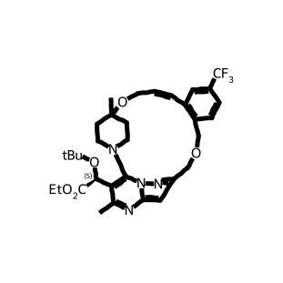 CCOC(=O)[C@@H](OC(C)(C)C)c1c(C)nc2cc3nn2c1N1CCC(C)(CC1)OCC=Cc1cc(C(F)(F)F)ccc1COC3